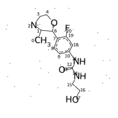 CC1[N]CCOC1c1ccc(NC(=O)NCCO)cc1F